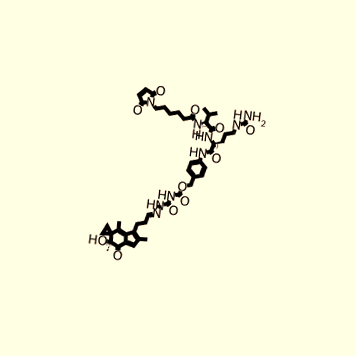 CC1=C(CCC=NNC(=O)NC(=O)OCc2ccc(NC(=O)[C@H](CCCNC(N)=O)NC(=O)[C@@H](NC(=O)CCCCCN3C(=O)C=CC3=O)C(C)C)cc2)C2=C(C)C3(CC3)[C@](C)(O)C(=O)C2=C1